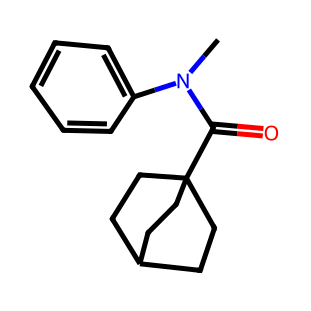 CN(C(=O)C12CCC(CC1)CC2)c1ccccc1